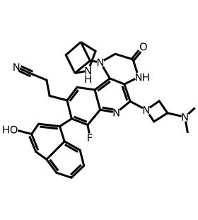 CN(C)C1CN(c2nc3c(F)c(-c4cc(O)cc5ccccc45)c(CCC#N)cc3c3c2NC(=O)CN3C2C3CNC2C3)C1